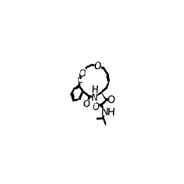 CC(C)NC(=O)C(=O)[C@@H]1C/C=C\COCCOCc2ccccc2C(=O)N1